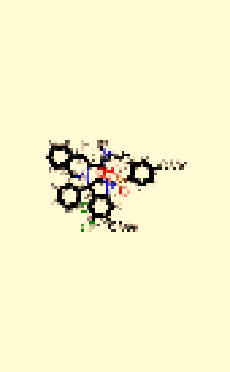 COc1ccc(S(=O)(=O)N2C(=O)C(c3ccccc3Cl)(N3Cc4ccccc4C[C@H]3C(=O)N(C)C)c3cc(Cl)c(OC)cc32)c(OC)c1